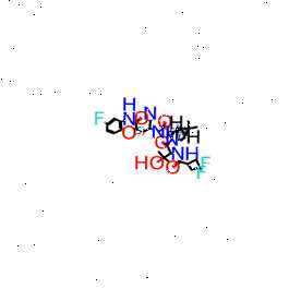 CC(C)(O)C(NC(=O)C1CC(F)(F)C1)C(=O)N1C[C@H]2[C@@H]([C@H]1C(=O)NC(C#N)C[C@@H]1Oc3ccc(F)cc3NC1=O)C2(C)C